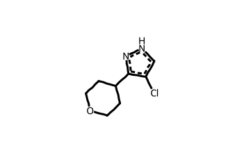 Clc1c[nH]nc1C1CCOCC1